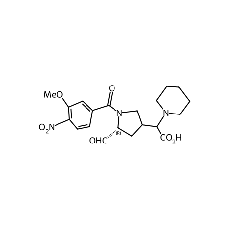 COc1cc(C(=O)N2CC(C(C(=O)O)N3CCCCC3)C[C@@H]2C=O)ccc1[N+](=O)[O-]